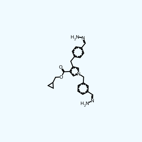 N/N=C\c1ccc(Cc2cn(Cc3cccc(/C=N\N)c3)cc2C(=O)OCC2CC2)cc1